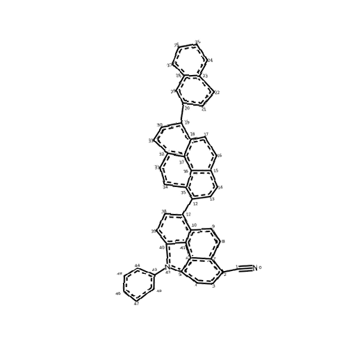 N#Cc1ccc2c3c1ccc1c(-c4ccc5ccc6c(-c7ccc8ccccc8c7)ccc7ccc4c5c76)ccc(c13)n2-c1ccccc1